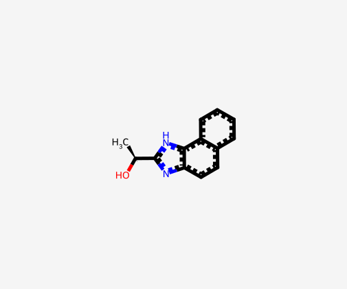 C[C@H](O)c1nc2ccc3ccccc3c2[nH]1